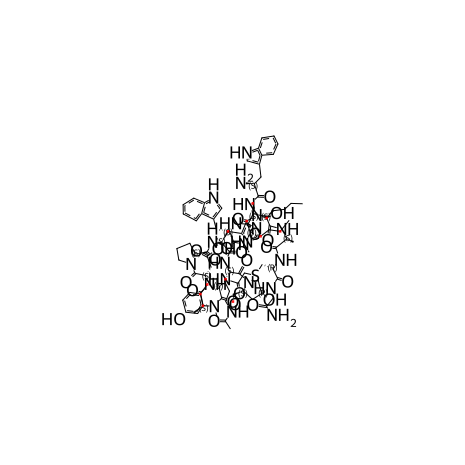 CCCC[C@@H](C(=O)N(C)[C@@H](CCCC)C(=O)N[C@@H](C)C(=O)N[C@@H](CSCC(=O)N[C@@H](Cc1ccc(O)cc1)C(=O)N(C)[C@@H](C)C(=O)N[C@@H](CC(=O)O)C(=O)N1CCC[C@H]1C(=O)N[C@@H](Cc1cnc[nH]1)C(=O)N[C@@H](CCCNC(C)=O)C(=O)N1C[C@H](O)C[C@H]1C=O)C(=O)NCC(N)=O)N(C)C(=O)[C@H](Cc1c[nH]c2ccccc12)NC(=O)[C@H](CO)NC(=O)[C@@H](N)Cc1c[nH]c2ccccc12